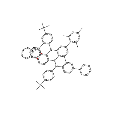 Cc1cc(C)c(-c2cc3c4c(c2)N(c2ccc(C(C)(C)C)cc2-c2ccccc2)c2c(ccc5c2oc2ccccc25)B4N(c2ccc(C(C)(C)C)cc2)c2ccc(-c4ccccc4)cc2-3)c(C)c1